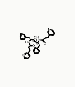 O=C(CCc1cccnc1)N[C@@H](Cc1ccccc1)C[C@H](O)[C@H](Cc1ccccc1)NC(=O)CCc1cccnc1